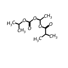 CC(C)OC(=O)OC(C)OC(=O)C(C)C